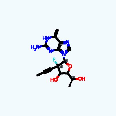 C=C1NC(N)=Nc2c1ncn2[C@@H]1OC([C@H](C)O)C(O)[C@]1(F)C#CC